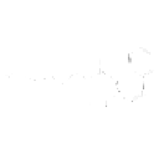 CSCCCCCNc1c([N+](=O)[O-])cnc2ccccc12